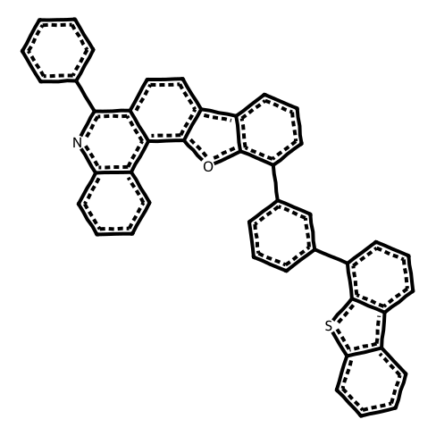 c1ccc(-c2nc3ccccc3c3c2ccc2c4cccc(-c5cccc(-c6cccc7c6sc6ccccc67)c5)c4oc23)cc1